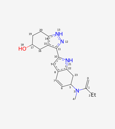 C=C(CC)N(C)C1C=Cc2cc(-c3n[nH]c4c3CC(O)CC4)[nH]c2C1